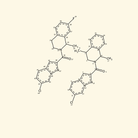 CC1CN(C(=O)c2cc3ccc(Cl)cn3n2)C(C)c2ccccc21.CC1c2cc(F)ccc2CCN1C(=O)c1cc2ccc(Cl)cn2n1